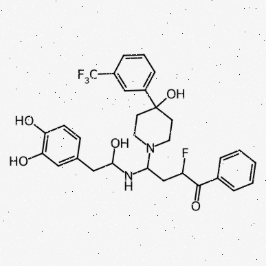 O=C(c1ccccc1)C(F)CC(NC(O)Cc1ccc(O)c(O)c1)N1CCC(O)(c2cccc(C(F)(F)F)c2)CC1